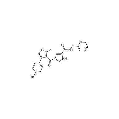 Cc1onc(-c2ccc(Br)cc2)c1C(=O)C1C=C(C(=O)NCc2ccccn2)NC1